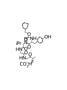 CC(F)C(=O)[C@H](CC(=O)O)NC(=O)[C@H](C)NC(=O)[C@@H](NC(=O)C(Cc1ccc(O)cc1)NC(=O)OCc1ccccc1)C(C)C